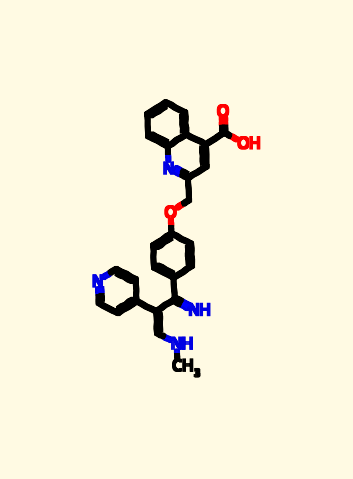 CN/C=C(\C(=N)c1ccc(OCc2cc(C(=O)O)c3ccccc3n2)cc1)c1ccncc1